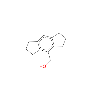 OCc1c2c(cc3c1CCC3)CCC2